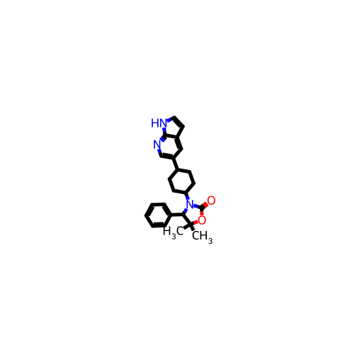 CC1(C)OC(=O)N(C2CCC(c3cnc4[nH]ccc4c3)CC2)C1c1ccccc1